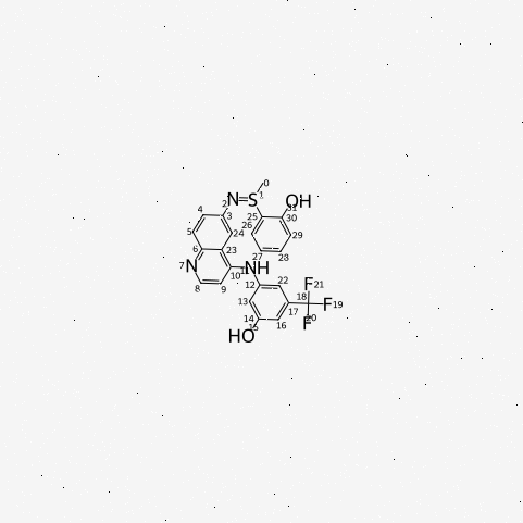 CS(=Nc1ccc2nccc(Nc3cc(O)cc(C(F)(F)F)c3)c2c1)c1ccccc1O